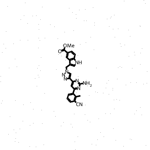 COC(=O)c1ccc2[nH]cc(Cn3cc(-c4cc(-c5cccc(C#N)c5C)nc(N)n4)nn3)c2c1